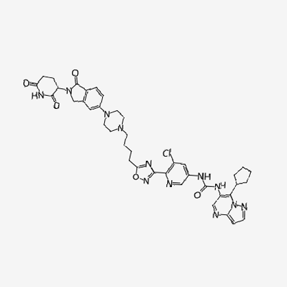 O=C1CCC(N2Cc3cc(N4CCN(CCCCc5nc(-c6ncc(NC(=O)Nc7cnc8ccnn8c7C7CCCC7)cc6Cl)no5)CC4)ccc3C2=O)C(=O)N1